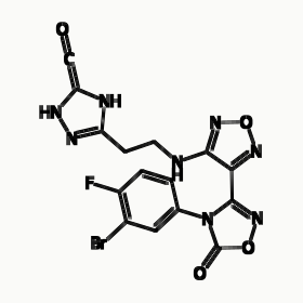 O=C=C1NN=C(CCNc2nonc2-c2noc(=O)n2-c2ccc(F)c(Br)c2)N1